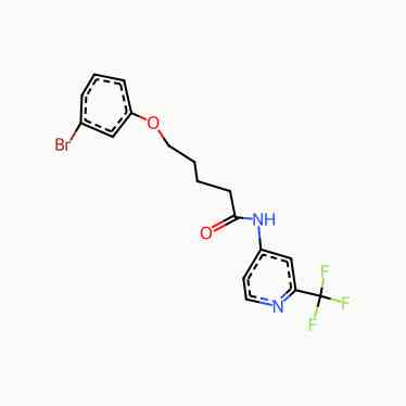 O=C(CCCCOc1cccc(Br)c1)Nc1ccnc(C(F)(F)F)c1